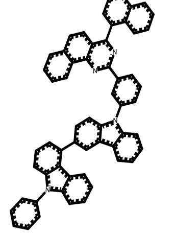 c1ccc(-n2c3ccccc3c3c(-c4ccc5c(c4)c4ccccc4n5-c4cccc(-c5nc(-c6cccc7ccccc67)c6ccc7ccccc7c6n5)c4)cccc32)cc1